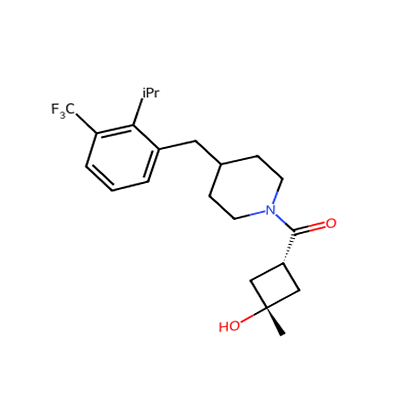 CC(C)c1c(CC2CCN(C(=O)[C@H]3C[C@@](C)(O)C3)CC2)cccc1C(F)(F)F